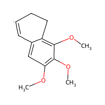 COc1cc2c(c(OC)c1OC)CC[C]=C2